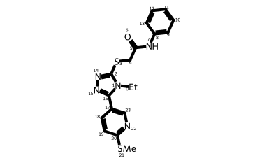 CCn1c(SCC(=O)Nc2ccccc2)nnc1-c1ccc(SC)nc1